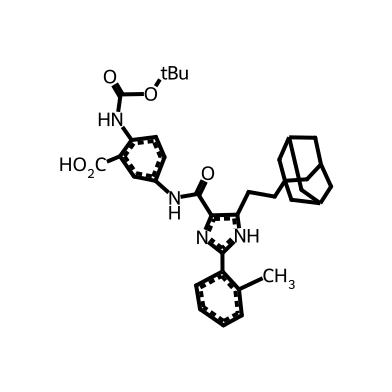 Cc1ccccc1-c1nc(C(=O)Nc2ccc(NC(=O)OC(C)(C)C)c(C(=O)O)c2)c(CCC23CC4CC(CC(C4)C2)C3)[nH]1